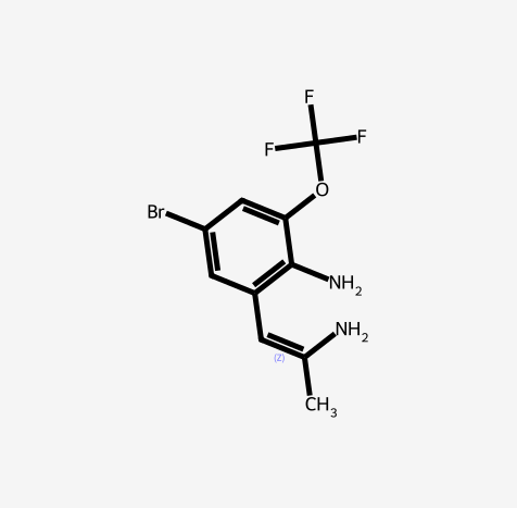 C/C(N)=C/c1cc(Br)cc(OC(F)(F)F)c1N